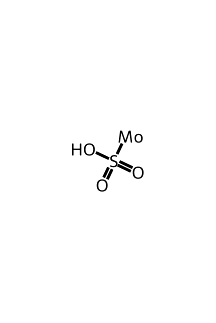 O=[S](=O)(O)[Mo]